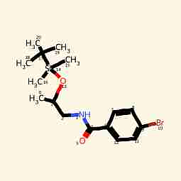 CC(CNC(=O)c1ccc(Br)cc1)O[Si](C)(C)C(C)(C)C